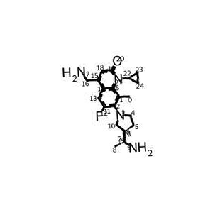 Cc1c(N2CC[C@@H]([C@H](C)N)C2)c(F)cc2c(CN)cc(=O)n(C3CC3)c12